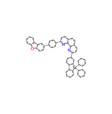 c1ccc([Si]2(c3ccccc3)c3ccccc3-c3ccc(-c4ccc5ccc6ccc(-c7ccc(-c8ccc9oc%10ccccc%10c9c8)cc7)nc6c5n4)cc32)cc1